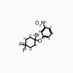 O=[N+]([O-])c1cccc(OC2(Br)CCC(F)(F)CC2)c1